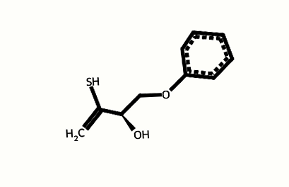 C=C(S)[C@H](O)COc1ccccc1